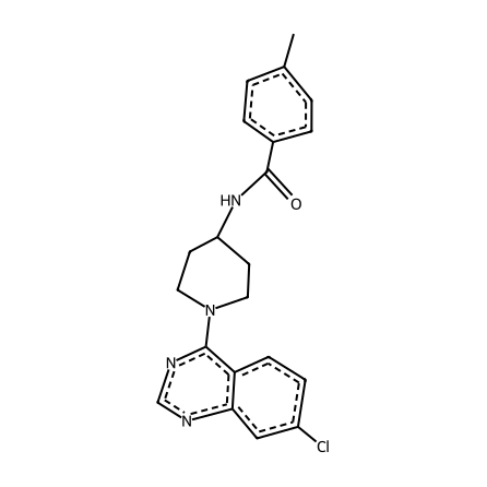 Cc1ccc(C(=O)NC2CCN(c3ncnc4cc(Cl)ccc34)CC2)cc1